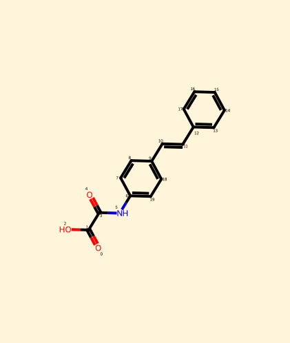 O=C(O)C(=O)Nc1ccc(C=Cc2ccccc2)cc1